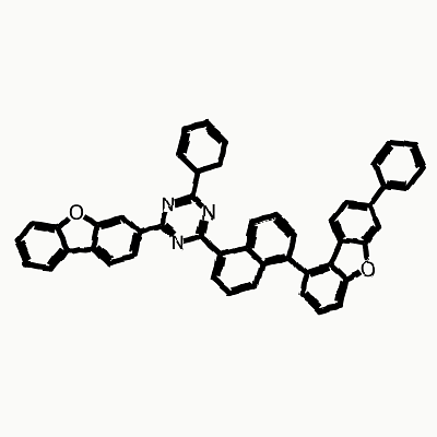 C1=CCC(c2nc(-c3ccc4c(c3)oc3ccccc34)nc(-c3cccc4c(-c5cccc6oc7cc(-c8ccccc8)ccc7c56)cccc34)n2)C=C1